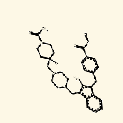 COC(=O)c1ccc(Cc2c(C)n(CC3CCN(CC4(F)CCN(C(C)=O)CC4)CC3)c3ccccc23)cc1